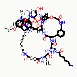 CNC(=O)[C@]1(C)CCCN1C(=O)[C@H](Cc1ccc(OC)cc1)NC(=O)[C@@H](NC(=O)[C@@H]1[C@@H]2CCN1C(=O)[C@@H]1Cc3cn(c4ccc(F)cc34)CCCCCCNC(=O)CCC(=O)N[C@@H](C)C(=O)N[C@H](CNC(=O)CCCCCI)C(=O)NC(Cc3cccc(c3)CNC(=O)CO2)C(=O)N1)[C@@H](C)O